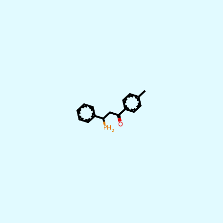 Cc1ccc(C(=O)CC(P)c2ccccc2)cc1